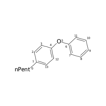 [CH2]CCCCc1ccc(Oc2ccccc2)cc1